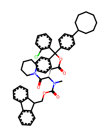 CN(C(=O)OCC1c2ccccc2-c2ccccc21)[C@@H](CC(=O)OC(c1ccccc1)(c1ccc(C2CCCCCCC2)cc1)c1ccccc1Cl)C(=O)N1CCCCC1